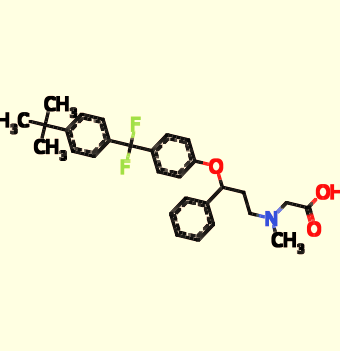 CN(CCC(Oc1ccc(C(F)(F)c2ccc(C(C)(C)C)cc2)cc1)c1ccccc1)CC(=O)O